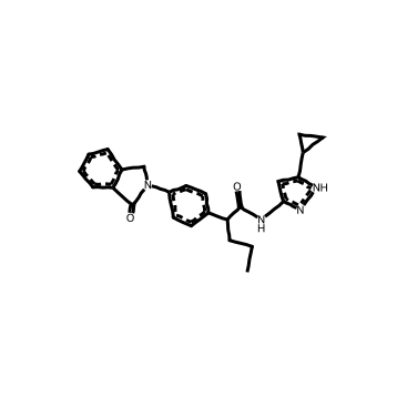 CCCC(C(=O)Nc1cc(C2CC2)[nH]n1)c1ccc(N2Cc3ccccc3C2=O)cc1